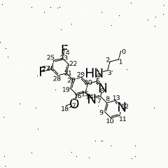 CCCCNc1nc(-c2cccnc2)nc2c(OC)cc(-c3cc(F)cc(F)c3)cc12